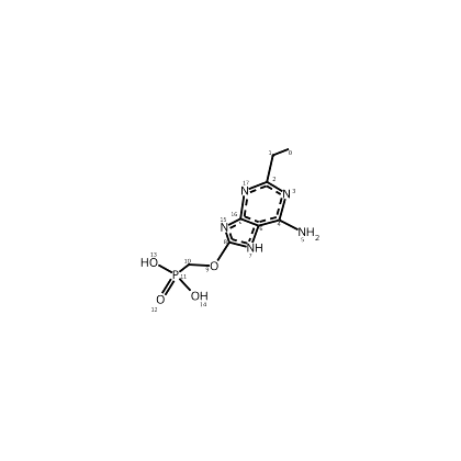 CCc1nc(N)c2[nH]c(OCP(=O)(O)O)nc2n1